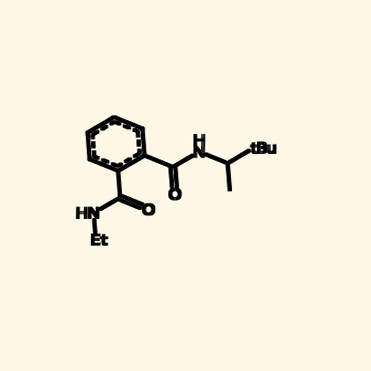 CCNC(=O)c1ccccc1C(=O)NC(C)C(C)(C)C